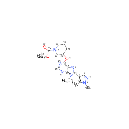 CCn1ncc(-c2nc3c(OC4CCCN(C(=O)OC(C)(C)C)C4)ncnc3n2C)c1C